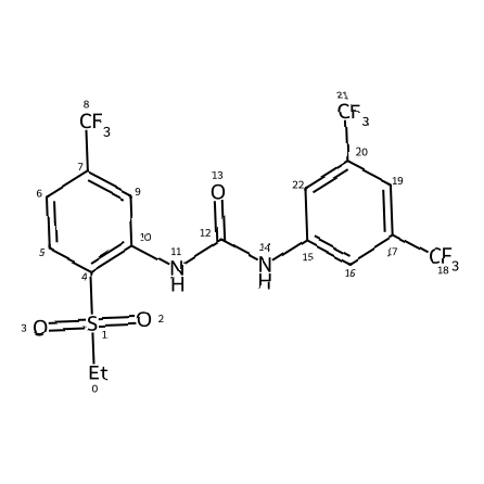 CCS(=O)(=O)c1ccc(C(F)(F)F)cc1NC(=O)Nc1cc(C(F)(F)F)cc(C(F)(F)F)c1